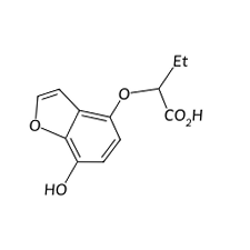 CCC(Oc1ccc(O)c2occc12)C(=O)O